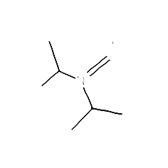 C=[N+](C(C)C)C(C)C.[Cl-]